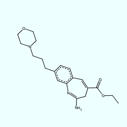 CCOC(=O)C1=Cc2ccc(CCCN3CCOCC3)cc2N=C(N)C1